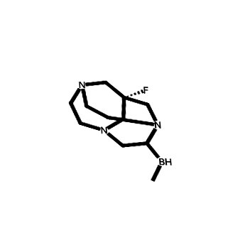 CBC1CN2CCN3CCN1C[C@](F)(C3)C2